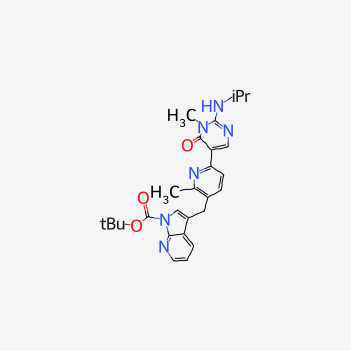 Cc1nc(-c2cnc(NC(C)C)n(C)c2=O)ccc1Cc1cn(C(=O)OC(C)(C)C)c2ncccc12